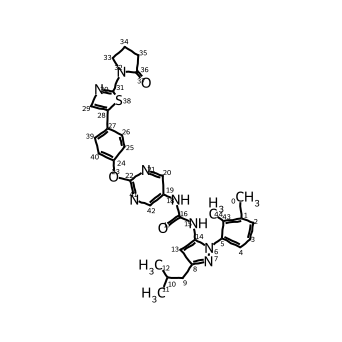 Cc1cccc(-n2nc(CC(C)C)cc2NC(=O)Nc2cnc(Oc3ccc(-c4cnc(N5CCCC5=O)s4)cc3)nc2)c1C